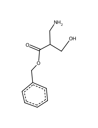 NCC(CO)C(=O)OCc1ccccc1